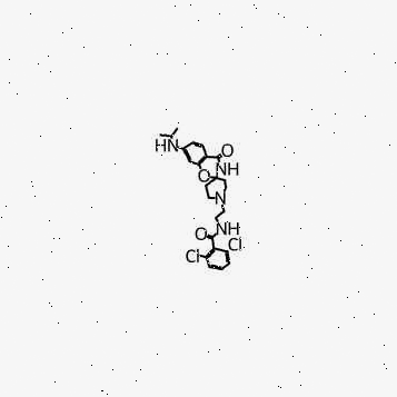 CC(C)Nc1ccc2c(c1)OC1(CCN(CCNC(=O)c3c(Cl)cccc3Cl)CC1)NC2=O